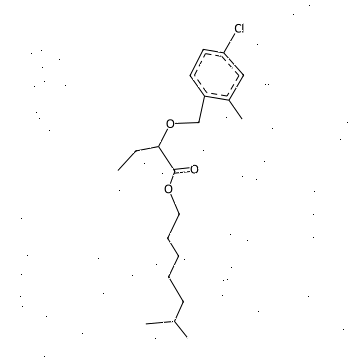 CCC(OCc1ccc(Cl)cc1C)C(=O)OCCCCCC(C)C